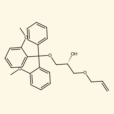 C=CCOC[C@@H](O)COC(c1ccccc1)(c1ccccc1OC)c1ccccc1OC